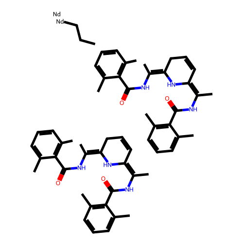 CC(NC(=O)c1c(C)cccc1C)=C1C=CCC(=C(C)NC(=O)c2c(C)cccc2C)N1.CC(NC(=O)c1c(C)cccc1C)=C1C=CCC(=C(C)NC(=O)c2c(C)cccc2C)N1.CC[CH2][Nd].[Nd]